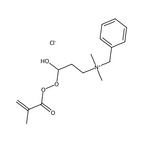 C=C(C)C(=O)OOC(O)CC[N+](C)(C)Cc1ccccc1.[Cl-]